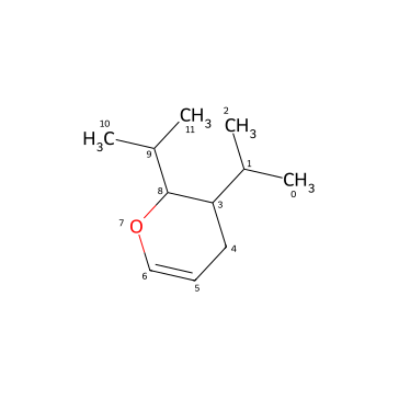 CC(C)C1CC=COC1C(C)C